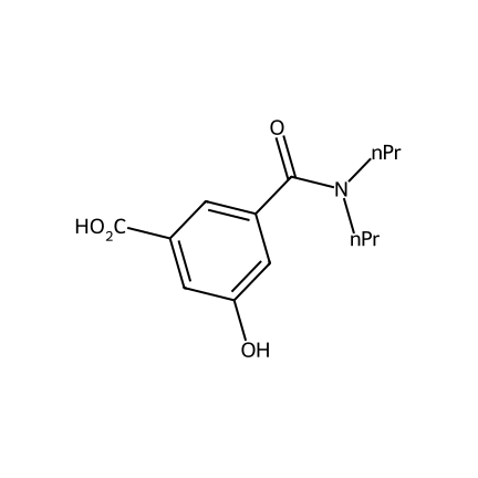 CCCN(CCC)C(=O)c1cc(O)cc(C(=O)O)c1